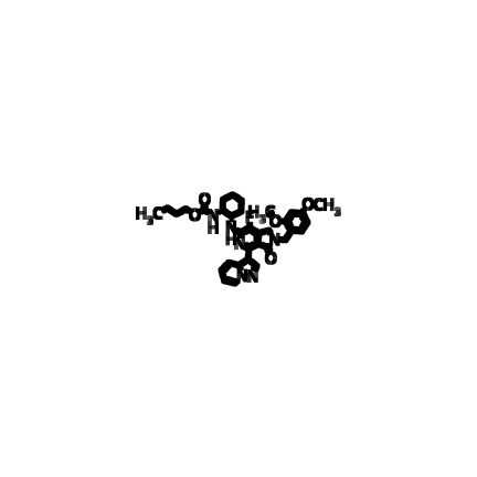 CCCCOC(=O)N[C@H]1CCCC[C@H]1Nc1nc(C2C=NN3C=CC=CC23)c2c(c1F)CN(Cc1ccc(OC)cc1OC)C2=O